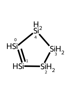 [SiH]1=[SiH][SiH2][SiH2][SiH2]1